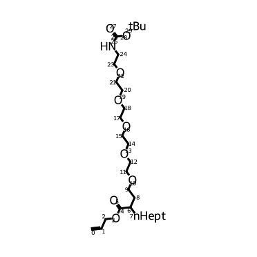 C=CCOC(=O)C(CCCCCCC)CCOCCOCCOCCOCCOCCNC(=O)OC(C)(C)C